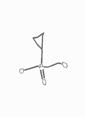 O=P(Cl)(Cl)C1CC1